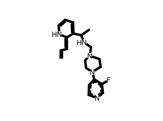 C=C/C=C1\NC=CC=C1C(C)NCN1CCN(c2ccncc2F)CC1